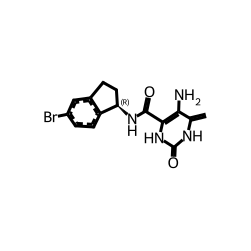 C=C1NC(=O)NC(C(=O)N[C@@H]2CCc3cc(Br)ccc32)=C1N